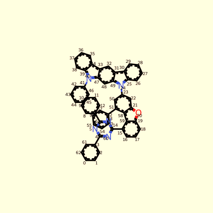 c1ccc(-c2nc(-c3ccccc3)nc(-c3cccc4oc5cc(-n6c7ccccc7c7cc8c9ccccc9n(-c9ccccc9)c8cc76)cc(-c6ccccc6)c5c34)n2)cc1